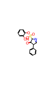 O=C1C(c2ccccc2)C=NC1S(=O)(=O)Oc1ccccc1O